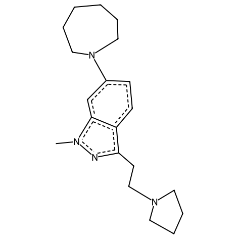 Cn1nc(CCN2CCCC2)c2ccc(N3CCCCCC3)cc21